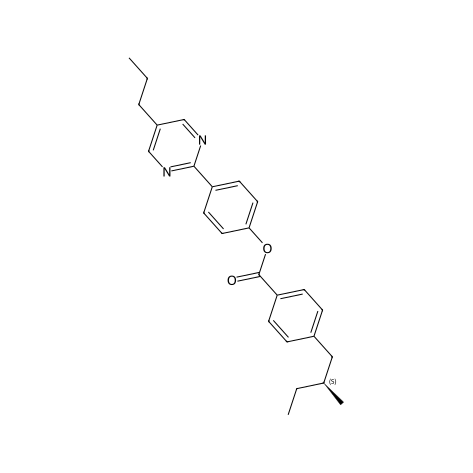 CCCc1cnc(-c2ccc(OC(=O)c3ccc(C[C@@H](C)CC)cc3)cc2)nc1